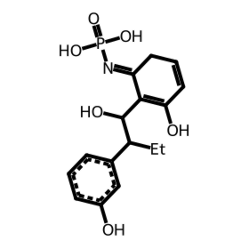 CCC(c1cccc(O)c1)C(O)C1=C(O)C=CCC1=NP(=O)(O)O